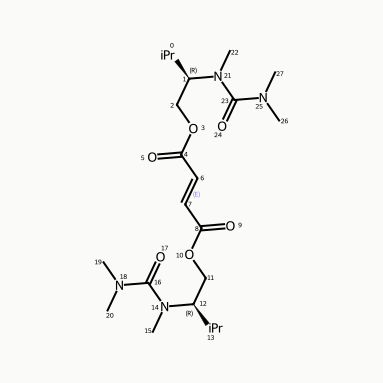 CC(C)[C@H](COC(=O)/C=C/C(=O)OC[C@@H](C(C)C)N(C)C(=O)N(C)C)N(C)C(=O)N(C)C